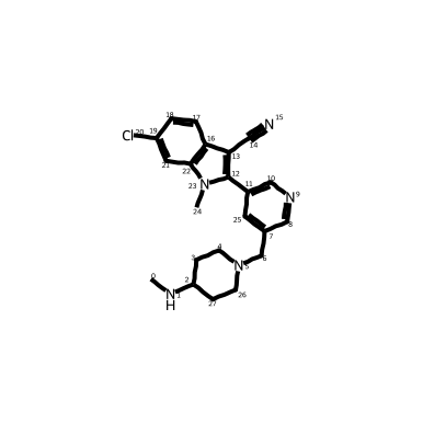 CNC1CCN(Cc2cncc(-c3c(C#N)c4ccc(Cl)cc4n3C)c2)CC1